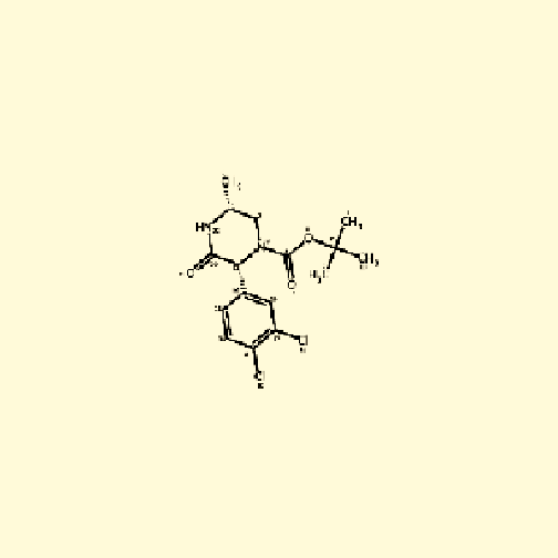 C[C@@H]1CN(C(=O)OC(C)(C)C)[C@H](c2ccc(Cl)c(Cl)c2)C(=O)N1